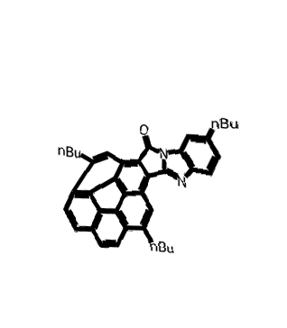 CCCCc1ccc2nc3c4c5cc(CCCC)c6ccc7ccc8c(CCCC)cc(c4c(=O)n3c2c1)c1c8c7c6c51